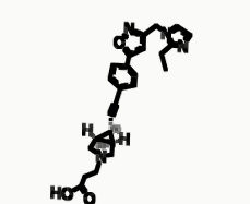 CCc1nccn1Cc1cc(-c2ccc(C#C[C@@H]3[C@H]4CN(CCC(=O)O)C[C@@H]34)cc2)on1